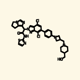 O=C(Nc1nccs1)C(c1ncn2c1CCC2)n1cc2c(Cl)cc(-c3ccc(N4CC(CN5CCC(CO)CC5)C4)cc3)c(Cl)c2n1